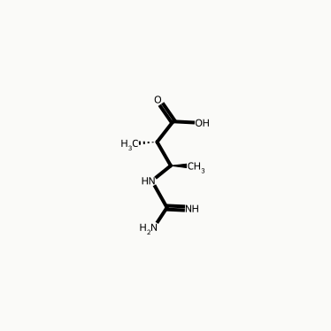 C[C@H](C(=O)O)[C@@H](C)NC(=N)N